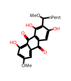 CCCCCC(OC)c1c(O)cc2c(c1O)C(=O)c1c(O)cc(OC)cc1C2=O